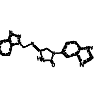 O=C1N/C(=N\Cn2nnc3ccccc32)CN1c1ccc2[nH]cnc2c1